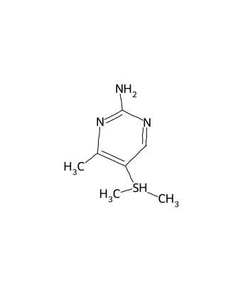 Cc1nc(N)ncc1[SH](C)C